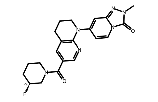 Cn1nc2cc(N3CCCc4cc(C(=O)N5CCC[C@H](F)C5)cnc43)ccn2c1=O